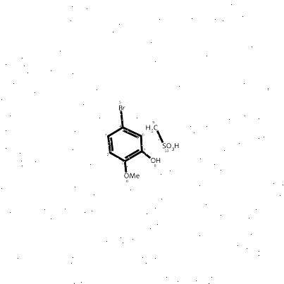 COc1ccc(Br)cc1O.CS(=O)(=O)O